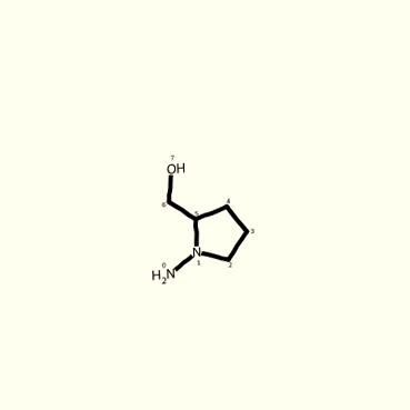 NN1CCCC1CO